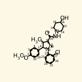 COc1ccc(C2C(C)C(C(=O)NN3CCC(O)CC3)=NN2c2ccccc2Cl)cc1